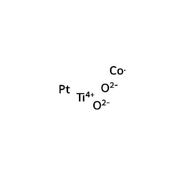 [Co].[O-2].[O-2].[Pt].[Ti+4]